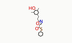 Cc1cc(CCc2ncc(C(=O)Sc3ccccc3)o2)cc(C)c1O